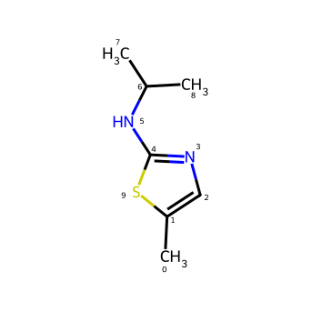 Cc1cnc(NC(C)C)s1